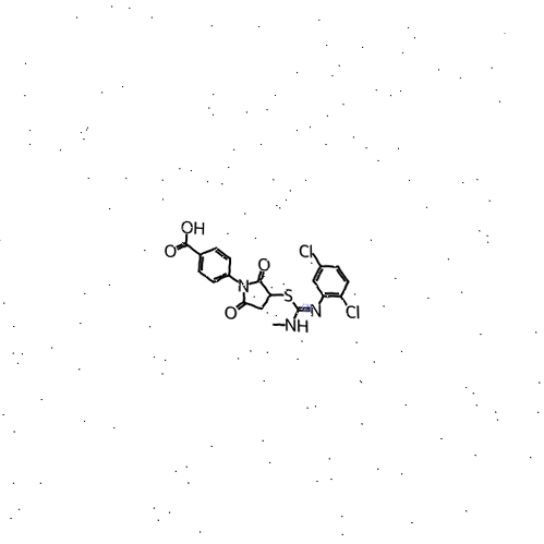 CN/C(=N/c1cc(Cl)ccc1Cl)SC1CC(=O)N(c2ccc(C(=O)O)cc2)C1=O